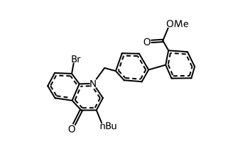 CCCCc1cn(Cc2ccc(-c3ccccc3C(=O)OC)cc2)c2c(Br)cccc2c1=O